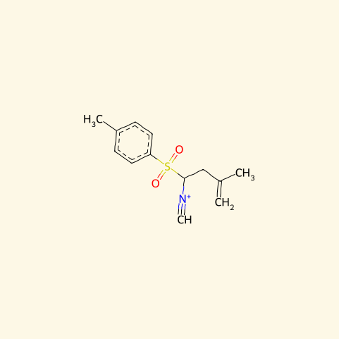 C#[N+]C(CC(=C)C)S(=O)(=O)c1ccc(C)cc1